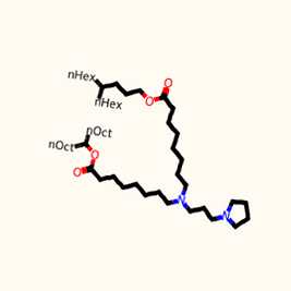 CCCCCCCCC(CCCCCCCC)OC(=O)CCCCCCCN(CCCCCCCC(=O)OCCCC(CCCCCC)CCCCCC)CCCN1CCCC1